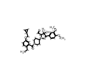 COc1ccc(C2=NN(C3CCN(C(=O)c4cc(OCC5CC5)ccc4CN)CC3)C(C=O)C2(C)C)cc1OC